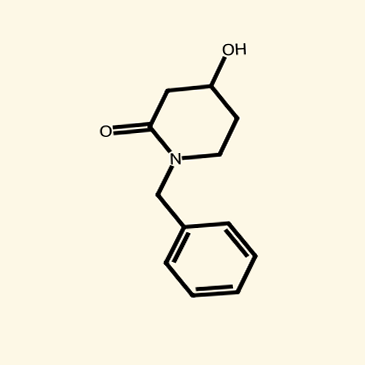 O=C1CC(O)CCN1Cc1ccccc1